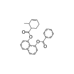 CC1C=CCCC1C(=O)Oc1cccc2cccc(OC(=O)c3ccccc3)c12